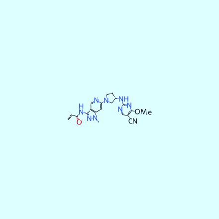 C=CC(=O)Nc1nn(C)c2cc(N3CCC(Nc4ncc(C#N)c(OC)n4)C3)ncc12